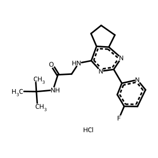 CC(C)(C)NC(=O)CNc1nc(-c2cc(F)ccn2)nc2c1CCC2.Cl